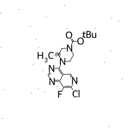 C[C@@H]1CN(C(=O)OC(C)(C)C)CCN1c1ncnc2c(F)c(Cl)ncc12